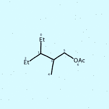 CCC(CC)C(C)COC(C)=O